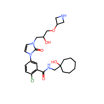 O=C(NCC1(O)CCCCCC1)c1cc(-n2ccn(CC(O)COC3CNC3)c2=O)ccc1Cl